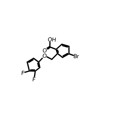 O=C(O)c1ccc(Br)cc1COc1ccc(F)c(F)c1